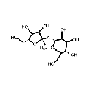 C[C@@]1(O[C@H]2OC(CO)[C@@H](O)C(O)C2O)O[C@H](CO)C(O)C1O